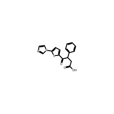 O=C(O)CC(C(=O)c1ccc(-n2ccnc2)s1)c1ccccc1